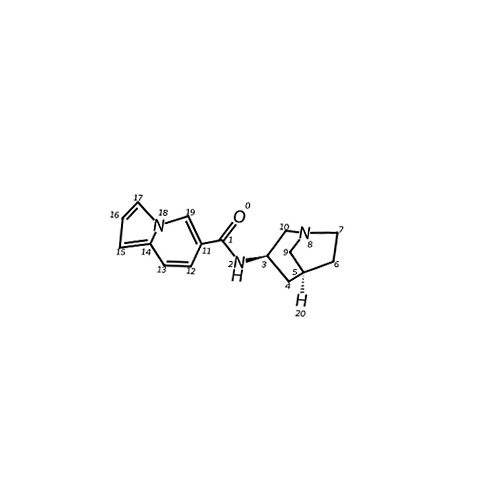 O=C(N[C@@H]1C[C@@H]2CCN(C2)C1)c1ccc2cccn2c1